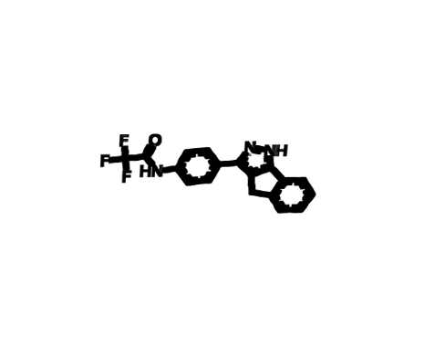 O=C(Nc1ccc(-c2n[nH]c3c2Cc2ccccc2-3)cc1)C(F)(F)F